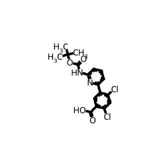 CC(C)(C)OC(=O)Nc1cccc(-c2cc(C(=O)O)c(Cl)cc2Cl)n1